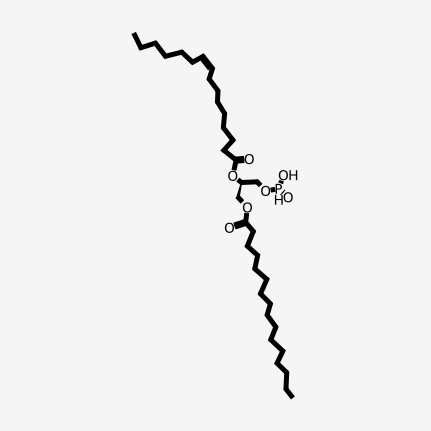 CCCCCC/C=C\CCCCCCCC(=O)O[C@H](COC(=O)CCCCCCCCCCCCCCC)CO[PH](=O)O